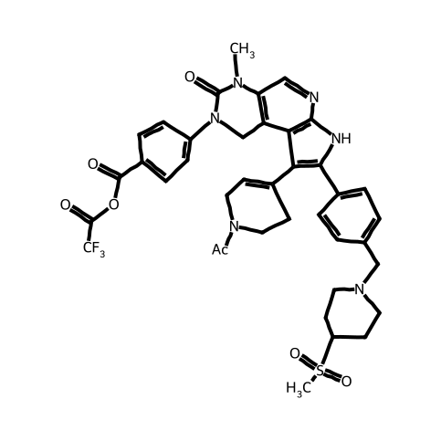 CC(=O)N1CC=C(c2c(-c3ccc(CN4CCC(S(C)(=O)=O)CC4)cc3)[nH]c3ncc4c(c23)CN(c2ccc(C(=O)OC(=O)C(F)(F)F)cc2)C(=O)N4C)CC1